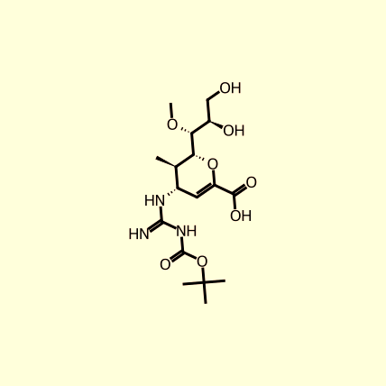 CO[C@@H]([C@@H]1OC(C(=O)O)=C[C@H](NC(=N)NC(=O)OC(C)(C)C)[C@H]1C)[C@H](O)CO